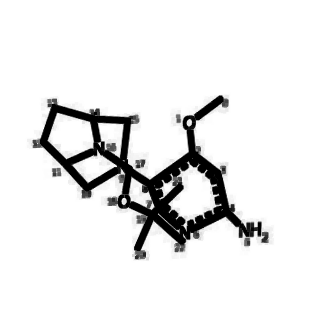 COc1cc(N)ncc1N1CC2CCC(C1)N2COC(C)(C)C